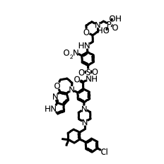 CC1(C)CCC(CN2CCN(c3ccc(C(=O)NS(=O)(=O)c4ccc(NCC5CN(CP(=O)(O)O)CCO5)c([N+](=O)[O-])c4)c(N4CCCOc5nc6[nH]ccc6cc54)c3)CC2)=C(c2ccc(Cl)cc2)C1